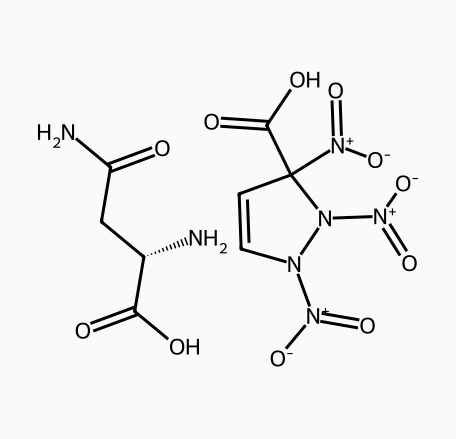 NC(=O)C[C@H](N)C(=O)O.O=C(O)C1([N+](=O)[O-])C=CN([N+](=O)[O-])N1[N+](=O)[O-]